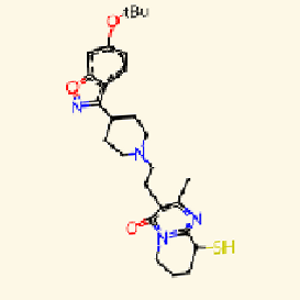 Cc1nc2n(c(=O)c1CCN1CCC(c3noc4cc(OC(C)(C)C)ccc34)CC1)CCCC2S